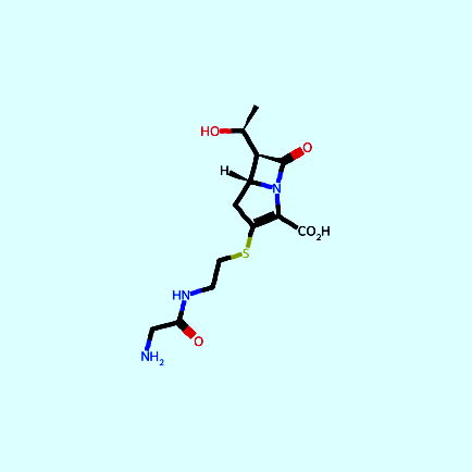 C[C@H](O)[C@H]1C(=O)N2C(C(=O)O)=C(SCCNC(=O)CN)C[C@H]12